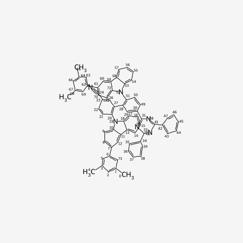 Cc1cc(C)cc(-c2ccc3c(c2)c2ccccc2n3-c2ccc(C#N)cc2-c2cc(-c3nc(-c4ccccc4)nc(-c4ccccc4)n3)ccc2-n2c3ccccc3c3cc(-c4cc(C)cc(C)c4)ccc32)c1